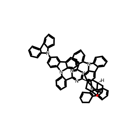 C1=Cc2c(c3ccccc3n2-c2ccc3c(c2)c2ccccc2n3-c2ccccc2-c2nc(-c3ccccc3-n3c4ccccc4c4cc(-n5c6ccccc6c6ccccc65)ccc43)nc([C@]34CC5CC(C[C@H](C5)C3)C4)n2)CC1